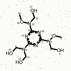 CON(CO)c1nc(N(CO)CO)nc(N(CO)OC)n1